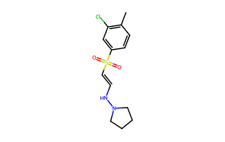 Cc1ccc(S(=O)(=O)C=CNN2CCCC2)cc1Cl